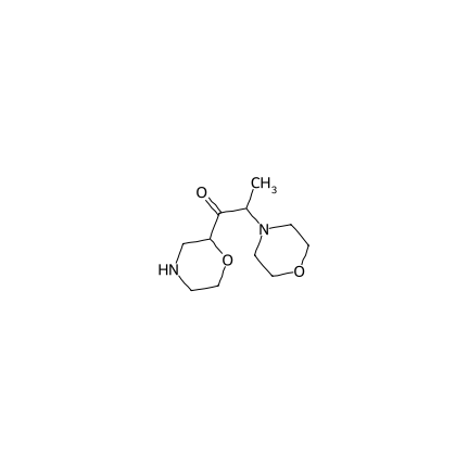 CC(C(=O)C1CNCCO1)N1CCOCC1